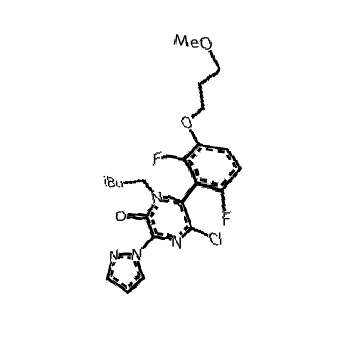 CCC(C)Cn1c(-c2c(F)ccc(OCCCOC)c2F)c(Cl)nc(-n2cccn2)c1=O